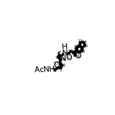 CC(=O)NCc1ccc(-c2csc(NC(=O)Cc3coc4cc5c(cc34)CCC5)n2)o1